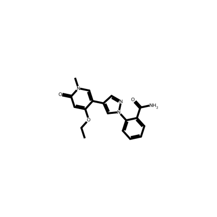 CCOc1cc(=O)n(C)cc1-c1cnn(-c2ccccc2C(N)=O)c1